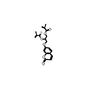 C=C(C)C(=O)OCC(COc1ccc2ccc(=O)oc2c1)OC(=O)C(=C)C